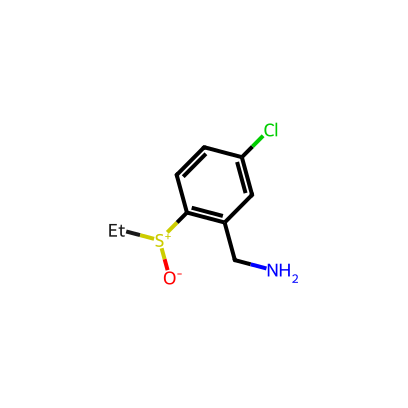 CC[S+]([O-])c1ccc(Cl)cc1CN